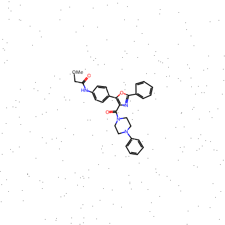 COCC(=O)Nc1ccc(-c2oc(-c3ccccc3)nc2C(=O)N2CCN(c3ccccc3)CC2)cc1